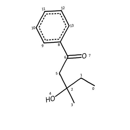 CCC(C)(O)[CH]C(=O)c1ccccc1